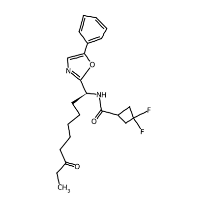 CCC(=O)CCCCC[C@H](NC(=O)C1CC(F)(F)C1)c1ncc(-c2ccccc2)o1